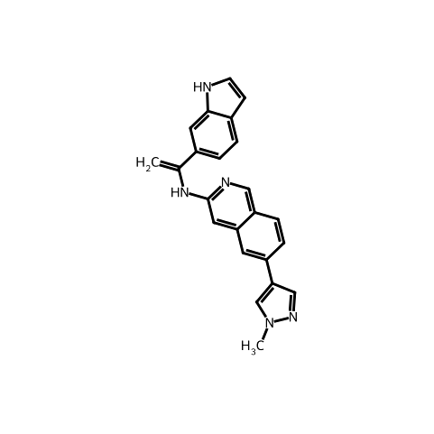 C=C(Nc1cc2cc(-c3cnn(C)c3)ccc2cn1)c1ccc2cc[nH]c2c1